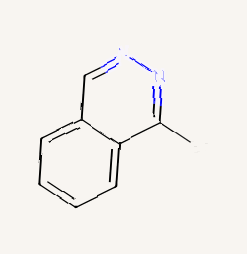 C[CH]c1nncc2ccccc12